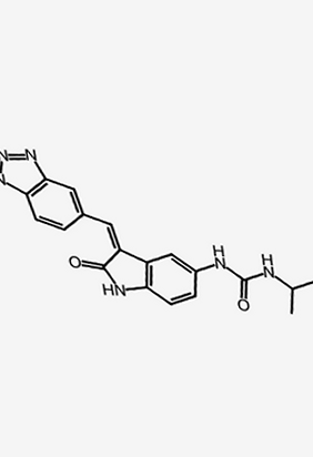 CC(C)NC(=O)Nc1ccc2c(c1)C(=Cc1ccc3[nH]nnc3c1)C(=O)N2